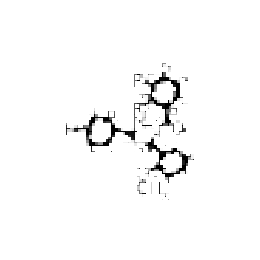 COc1ccccc1C1SC(c2ccc(F)cc2)=NN1C(=O)c1ccc(F)c(F)c1F